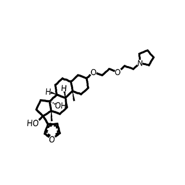 C[C@]12CCC(OCCOCCN3CCCC3)CC1CC[C@@H]1[C@H]2CC[C@]2(C)C(O)(c3ccoc3)CC[C@@]12O